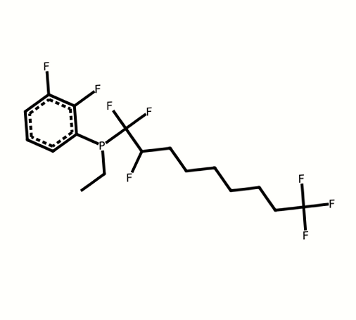 CCP(c1cccc(F)c1F)C(F)(F)C(F)CCCCCCC(F)(F)F